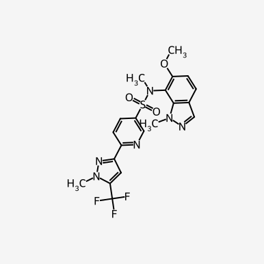 COc1ccc2cnn(C)c2c1N(C)S(=O)(=O)c1ccc(-c2cc(C(F)(F)F)n(C)n2)nc1